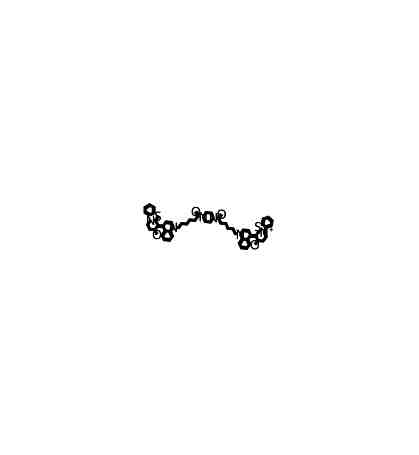 O=C(CCCCCN1C=CC2=C3c4sc5ccccc5[n+]4CCC3Oc3cccc1c32)N1CCN(C(=O)CCCCCN2C=CC3=C4c5sc6ccccc6[n+]5CCC4Oc4cccc2c43)CC1